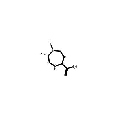 C=C(S)C1CCN(I)[C@@H](C)CN1